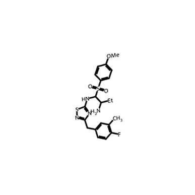 CCC(N)C(Nc1nc(Cc2ccc(F)c(C)c2)ns1)S(=O)(=O)c1ccc(OC)cc1